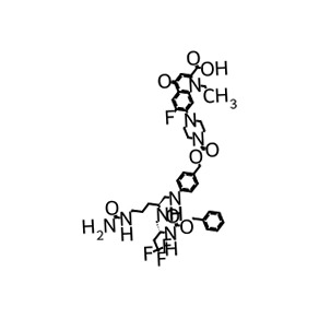 CCn1c(C(=O)O)cc(=O)c2cc(F)c(N3CCN(C(=O)OCc4ccc(NC[C@H](CCCNC(N)=O)NC[C@@H](CC(F)(F)F)NC(=O)OCc5ccccc5)cc4)CC3)cc21